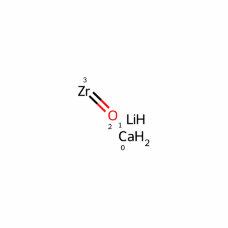 [CaH2].[LiH].[O]=[Zr]